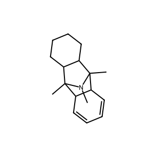 CN1C2(C)C3C=CC=CC3C1(C)C1CCCCC12